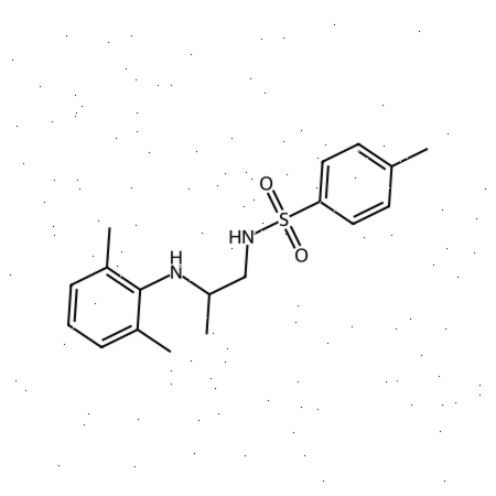 Cc1ccc(S(=O)(=O)NCC(C)Nc2c(C)cccc2C)cc1